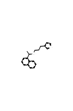 CC(NCCCc1ccoc1)c1cccc2ccccc12